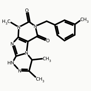 CC1=NNc2nc3c(c(=O)n(Cc4cccc(C)c4)c(=O)n3C)n2C1C